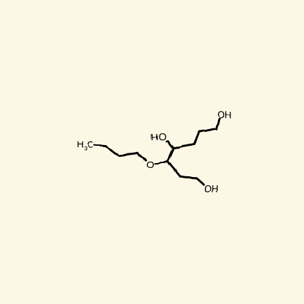 CCCCOC(CCO)C(O)CCCO